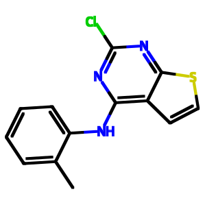 Cc1ccccc1Nc1nc(Cl)nc2sccc12